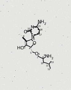 C=C1C(O)[C@@H](COCC(N)CC(C)C)O[C@H]1n1ccc(N)nc1=O